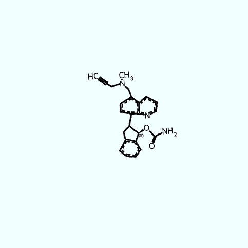 C#CCN(C)Cc1ccc(C2Cc3ccccc3[C@@H]2OC(N)=O)c2ncccc12